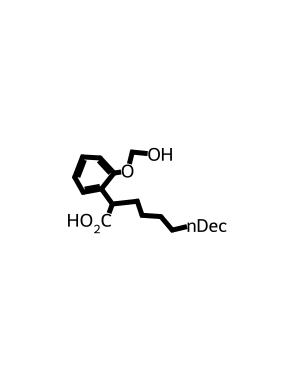 CCCCCCCCCCCCCCC(C(=O)O)c1ccccc1OCO